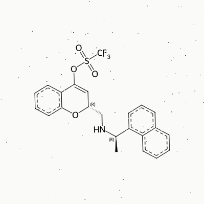 C[C@@H](NC[C@H]1C=C(OS(=O)(=O)C(F)(F)F)c2ccccc2O1)c1cccc2ccccc12